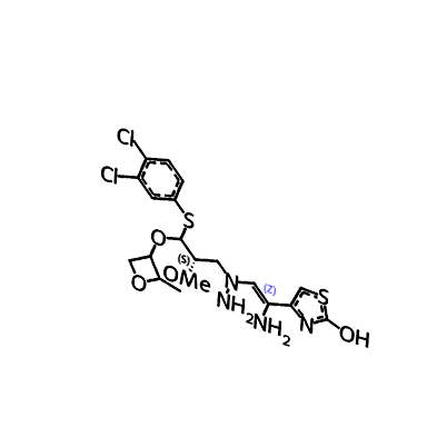 CO[C@@H](CN(N)/C=C(\N)c1csc(O)n1)C(OC1COC1C)Sc1ccc(Cl)c(Cl)c1